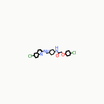 O=C(COc1ccc(Cl)cc1)NC1CCC(CNc2ccc3cc(Cl)ccc3n2)CC1